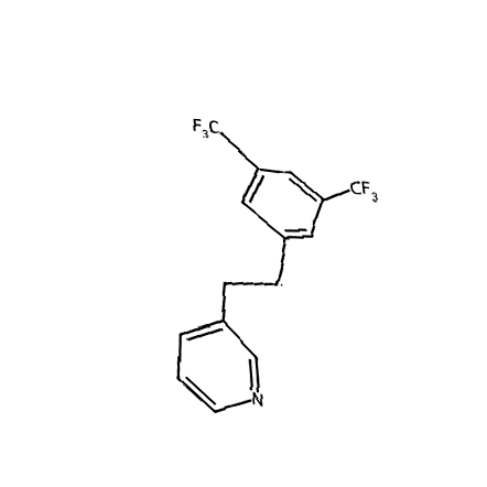 FC(F)(F)c1cc([CH]Cc2cccnc2)cc(C(F)(F)F)c1